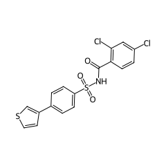 O=C(NS(=O)(=O)c1ccc(-c2ccsc2)cc1)c1ccc(Cl)cc1Cl